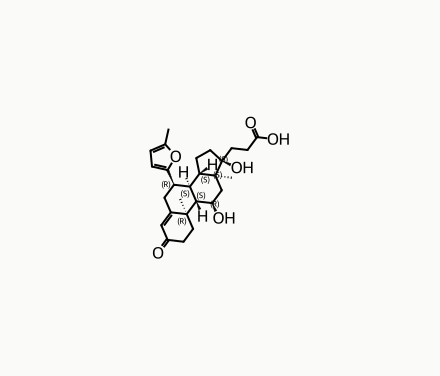 Cc1ccc([C@@H]2CC3=CC(=O)CC[C@]3(C)[C@@H]3[C@@H]2[C@@H]2CC[C@](O)(CCC(=O)O)[C@@]2(C)C[C@H]3O)o1